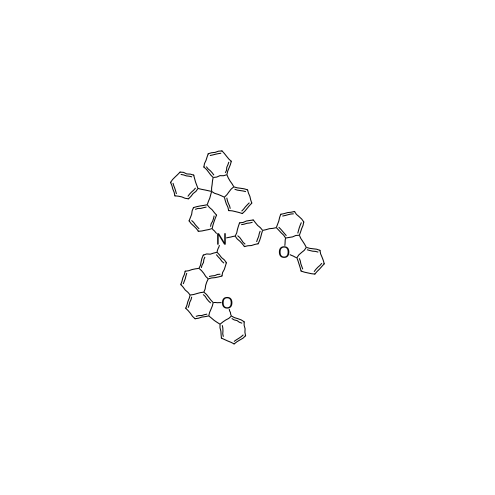 c1ccc(C2(c3cccc(N(c4ccc(-c5cccc6c5oc5ccccc56)cc4)c4ccc5c(ccc6ccc7c8ccccc8oc7c65)c4)c3)c3ccccc3-c3ccccc32)cc1